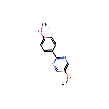 CCOc1cnc(-c2ccc(OC(F)(F)F)cc2)nc1